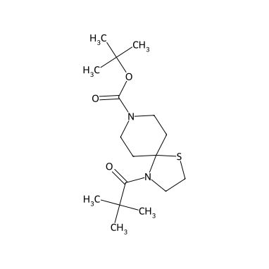 CC(C)(C)OC(=O)N1CCC2(CC1)SCCN2C(=O)C(C)(C)C